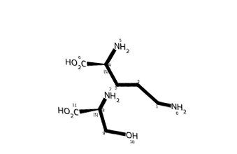 NCCC[C@H](N)C(=O)O.N[C@@H](CO)C(=O)O